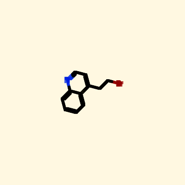 BrCCc1ccnc2ccccc12